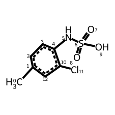 Cc1ccc(NS(=O)(=O)O)c(Cl)c1